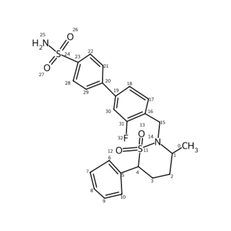 CC1CCC(c2ccccc2)S(=O)(=O)N1Cc1ccc(-c2ccc(S(N)(=O)=O)cc2)cc1F